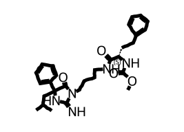 COC(=O)N[C@@H](CCc1ccccc1)C(=O)NCCCCN1C(=N)NC(CC(C)C)(c2ccccc2)C1=O